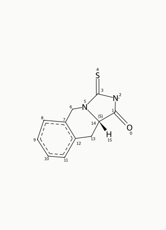 O=C1[N]C(=S)N2Cc3ccccc3C[C@@H]12